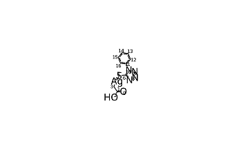 O=C(O)[CH2][Ag][S]c1nnnn1-c1ccccc1